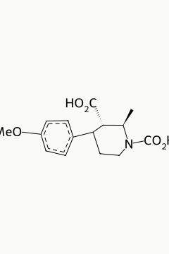 COc1ccc(C2CCN(C(=O)O)[C@H](C)[C@H]2C(=O)O)cc1